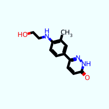 Cc1cc(-c2ccc(=O)[nH]n2)ccc1NCCO